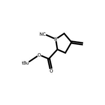 C=C1CB(C#N)C(C(=O)OC(C)(C)C)C1